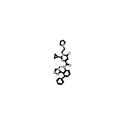 Cn1cnnc1-c1c(NC(=O)c2cc(=O)n(CCN3CCCC3)c(C3CC3)n2)cccc1-c1ccccc1